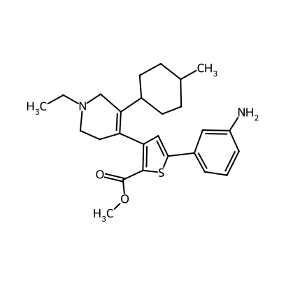 CCN1CCC(c2cc(-c3cccc(N)c3)sc2C(=O)OC)=C(C2CCC(C)CC2)C1